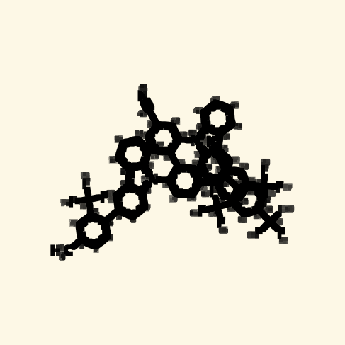 Cc1ccc(-c2ccc3c(c2)c2ccccc2n3-c2ccc(-c3ccc(C(F)(F)F)cc3C#N)cc2-c2ccc(C#N)cc2-n2c3ccccc3c3cc(-c4ccc(C(F)(F)F)cc4C(F)(F)F)ccc32)c(C(F)(F)F)c1